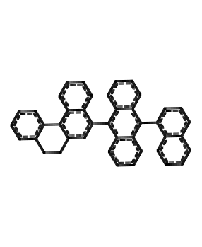 c1ccc2c(c1)CCc1cc(-c3c4ccccc4c(-c4cccc5ccccc45)c4ccccc34)c3ccccc3c1-2